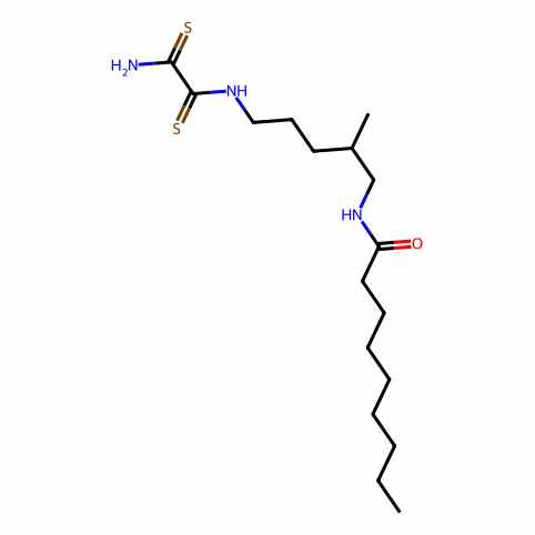 CCCCCCCCC(=O)NCC(C)CCCNC(=S)C(N)=S